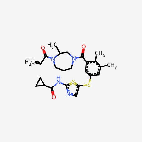 C=CC(=O)N1CCCN(C(=O)c2cc(Sc3cnc(NC(=O)C4CC4)s3)cc(C)c2C)CC1C